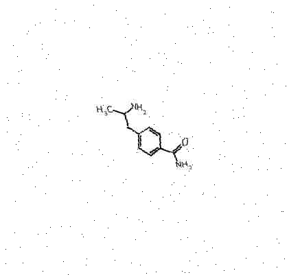 CC(N)Cc1ccc(C(N)=O)cc1